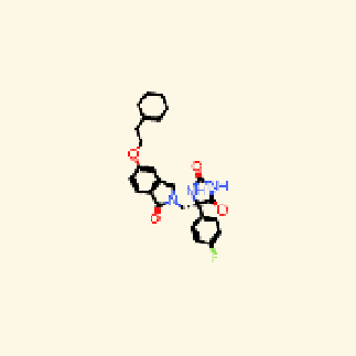 O=C1NC(=O)[C@@](CN2Cc3cc(OCCC4CCCCC4)ccc3C2=O)(c2ccc(F)cc2)N1